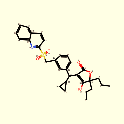 CCCC1(CCC)OC(=O)C(C(c2cccc(CS(=O)(=O)c3ccc4ccccc4n3)c2)C2CC2)=C1O